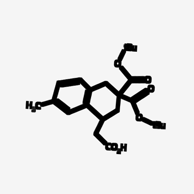 Cc1ccc2c(c1)C(CC(=O)O)CC(C(=O)OC(C)(C)C)(C(=O)OC(C)(C)C)C2